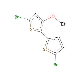 CCOc1cc(Br)sc1-c1ccc(Br)s1